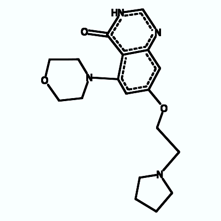 O=c1[nH]cnc2cc(OCCN3CCCC3)cc(N3CCOCC3)c12